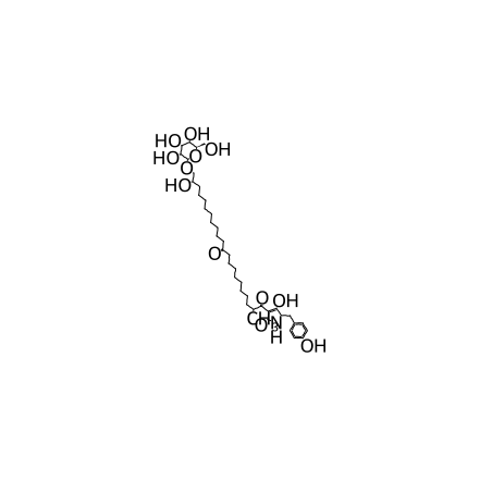 CC(CCCCCCCCC(=O)CCCCCCCCCC(O)CO[C@@H]1O[C@H](CO)[C@@H](O)[C@H](O)[C@@H]1O)C(=O)C1=C(O)C(Cc2ccc(O)cc2)NC1=O